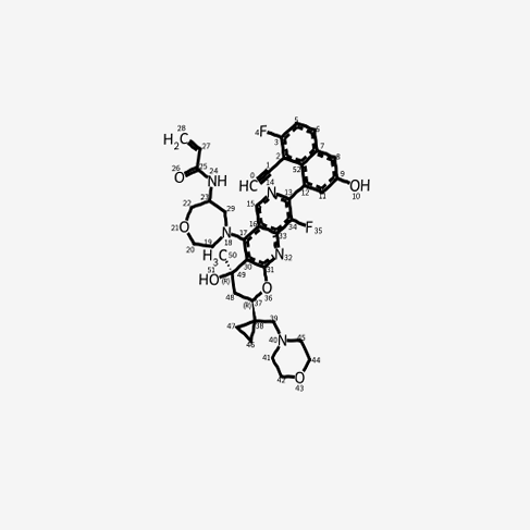 C#Cc1c(F)ccc2cc(O)cc(-c3ncc4c(N5CCOCC(NC(=O)C=C)C5)c5c(nc4c3F)O[C@@H](C3(CN4CCOCC4)CC3)C[C@@]5(C)O)c12